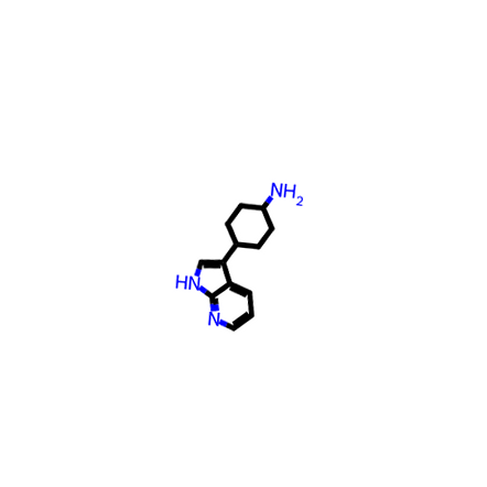 NC1CCC(c2c[nH]c3ncccc23)CC1